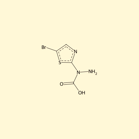 NN(C(=O)O)c1ncc(Br)s1